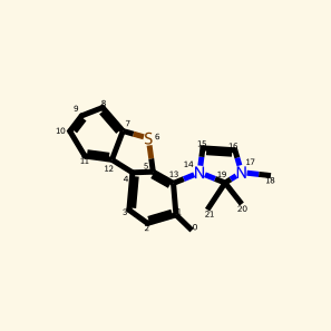 Cc1ccc2c(sc3ccccc32)c1N1C=CN(C)C1(C)C